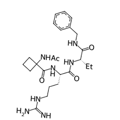 CC[C@H](NC(=O)[C@H](CCCNC(=N)N)NC(=O)C1(NC(C)=O)CCC1)C(=O)NCc1ccccc1